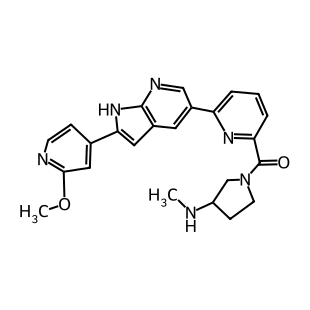 CNC1CCN(C(=O)c2cccc(-c3cnc4[nH]c(-c5ccnc(OC)c5)cc4c3)n2)C1